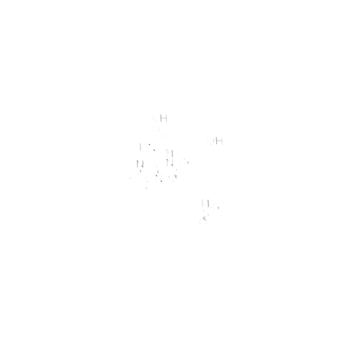 COc1cc(CCO)ccc1Nc1nc2ccccc2nc1NS(=O)(=O)CCCC[SH](=O)=O